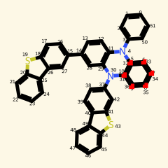 c1ccc(N(c2ccccc2)c2ccc(-c3ccc4sc5ccccc5c4c3)cc2N(c2ccccc2)c2ccc3c(c2)sc2ccccc23)cc1